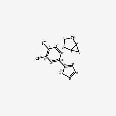 C1CC2CC2O1.Fc1ccc(-c2ccc[nH]2)cc1Cl